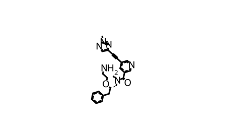 CN(C[C@H](Cc1ccccc1)OCCN)C(=O)c1cncc(C#Cc2cnn(C)n2)c1